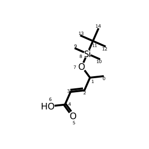 CC(/C=C/C(=O)O)O[Si](C)(C)C(C)(C)C